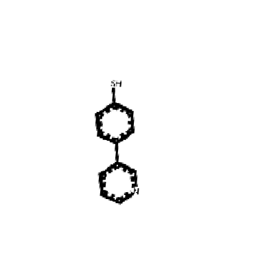 Sc1ccc(-c2cccnc2)cc1